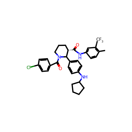 Cc1ccc(NC(=O)[C@H]2CCCN(C(=O)c3ccc(Cl)cc3)C2c2ccc(NC3CCCC3)cc2)cc1C(F)(F)F